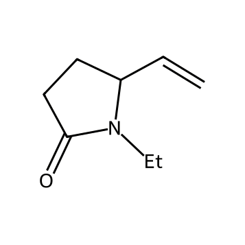 C=CC1CCC(=O)N1CC